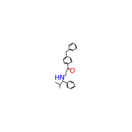 CC(C)C(NCCC(=O)c1ccc(Cc2ccccc2)cc1)c1ccccc1